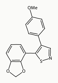 COc1ccc(-c2cnsc2-c2cccc3c2OCO3)cc1